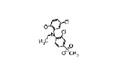 CCN(c1cc(Cl)ccc1[O])c1ccc(S(C)(=O)=O)cc1Cl